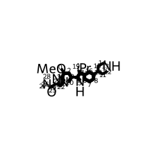 COc1cc(-c2[nH]c3ccc(C4CCNCC4)cc3c2C(C)C)cn2cc(C(=O)N(C)C)nc12